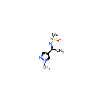 CC(=N[S@+]([O-])C(C)(C)C)c1cnn(C)c1